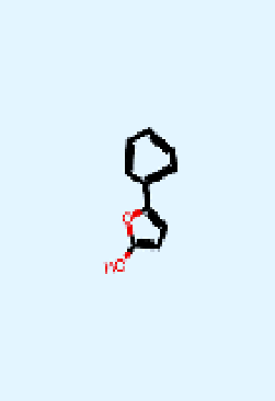 Oc1ccc(-c2ccccc2)o1